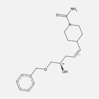 NC(=O)N1CCC(/C=C\C[C@@H](O)COCc2ccccc2)CC1